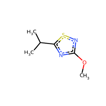 COc1nsc(C(C)C)n1